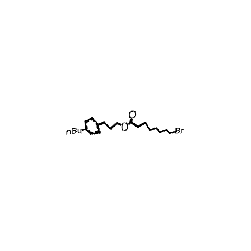 CCCCc1ccc(CCCOC(=O)CCCCCCCBr)cc1